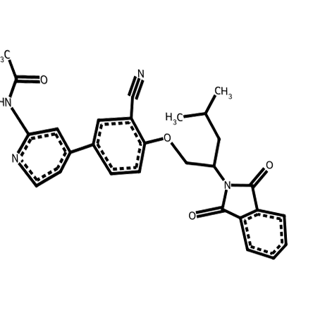 CC(=O)Nc1cc(-c2ccc(OCC(CC(C)C)N3C(=O)c4ccccc4C3=O)c(C#N)c2)ccn1